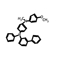 COc1ccc(N(C)c2ccc(N(c3ccccc3)c3cccc(-c4ccccc4)c3)cc2)cc1